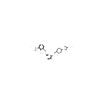 CN(C)c1cccc(CNc2ncc([N+](=O)[O-])c(NCC3CCC(N4CC(O)C4)CC3)n2)c1Cl